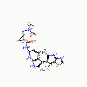 COc1nc2ncsc2c(OC)c1-c1c[nH]c2nc(NC(=O)[C@@H]3C[C@H]3CN(C)C)ccc12